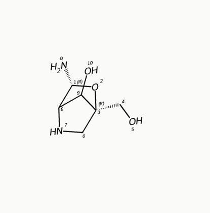 N[C@@H]1O[C@@]2(CO)CNC1C2O